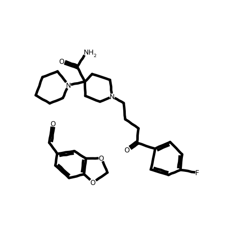 NC(=O)C1(N2CCCCC2)CCN(CCCC(=O)c2ccc(F)cc2)CC1.O=Cc1ccc2c(c1)OCO2